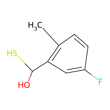 Cc1ccc(F)cc1C(O)S